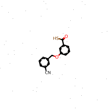 N#Cc1cccc(COc2cccc(C(=O)S)c2)c1